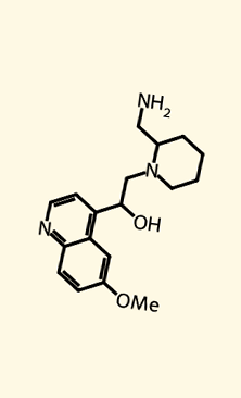 COc1ccc2nccc(C(O)CN3CCCCC3CN)c2c1